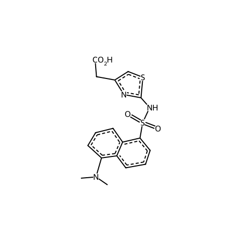 CN(C)c1cccc2c(S(=O)(=O)Nc3nc(CC(=O)O)cs3)cccc12